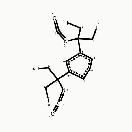 O=C=NC(CI)(CI)c1cccc(C(CI)(CI)N=C=O)c1